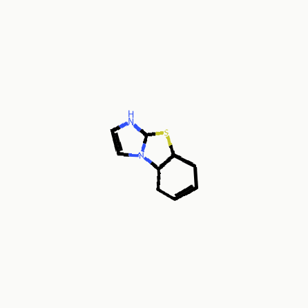 C1=CCC2C(C1)SC1NC=CN12